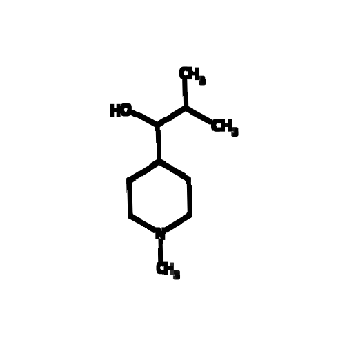 CC(C)C(O)C1CCN(C)CC1